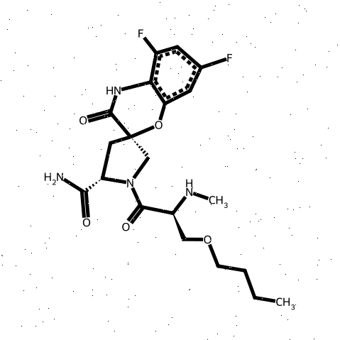 CCCCOC[C@H](NC)C(=O)N1C[C@@]2(C[C@H]1C(N)=O)Oc1cc(F)cc(F)c1NC2=O